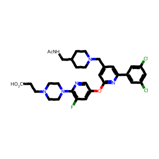 CC(=O)NCC1CCN(Cc2cc(Oc3cnc(N4CCN(CCC(=O)O)CC4)c(F)c3)nc(-c3cc(Cl)cc(Cl)c3)c2)CC1